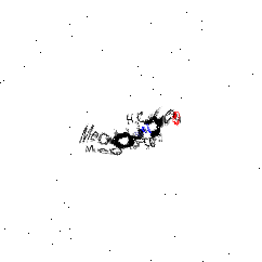 COc1ccc(/C(C#N)=C/N2C(C)=CC(=C=O)C=C2C)cc1OC